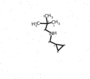 CC(C)(C)CNCC1CC1